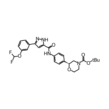 CC(C)(C)OC(=O)N1CCO[C@@H](c2ccc(NC(=O)c3cc(-c4cccc(OC(F)F)c4)n[nH]3)cc2)C1